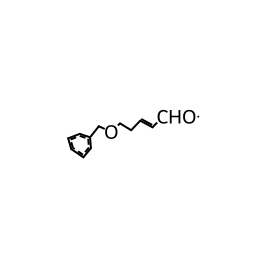 O=[C]C=CCCOCc1ccccc1